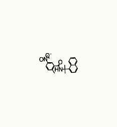 Cc1ccc([N+](=O)[O-])cc1C(=O)NC(C)(C)c1cccc2ccccc12